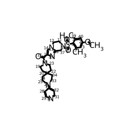 COc1cc(C)c(S(=O)(=O)N2CCn3cc(C(=O)N4CCC5(CC4)CCN(c4ccncc4)CC5)nc3C2)c(C)c1